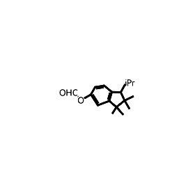 CC(C)C1c2ccc(OC=O)cc2C(C)(C)C1(C)C